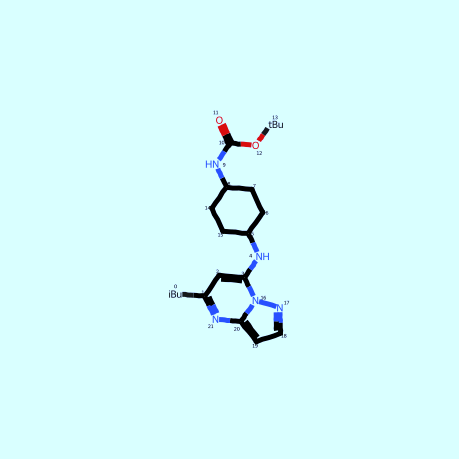 CCC(C)c1cc(NC2CCC(NC(=O)OC(C)(C)C)CC2)n2nccc2n1